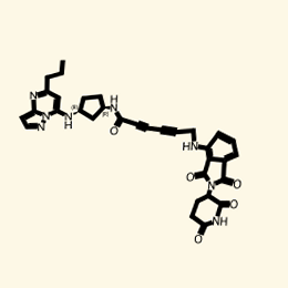 CCCc1cc(N[C@@H]2CC[C@@H](NC(=O)C#CC#CCNc3cccc4c3C(=O)N(C3CCC(=O)NC3=O)C4=O)C2)n2nccc2n1